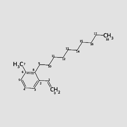 C=Cc1cccc(C)c1CCCCCCCCCC